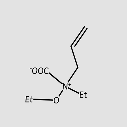 C=CC[N+](CC)(OCC)C(=O)[O-]